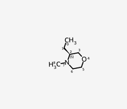 CC[C@H]1COCCN1C